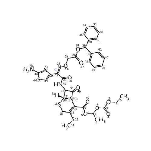 CCOC(=O)OC(C)OC(=O)C1=C(SC)CS[C@@H]2C(NC(=O)/C(=N\OCC(=O)OC(c3ccccc3)c3ccccc3)c3csc(N)n3)C(=O)N12